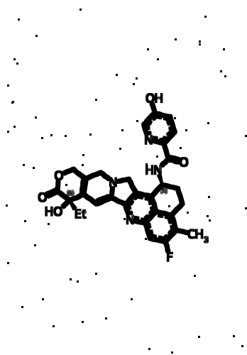 CC[C@@]1(O)C(=O)OCC2=C1C=C1c3nc4cc(F)c(C)c5c4c(c3CN1C2)[C@@H](NC(=O)c1ccc(O)cn1)CC5